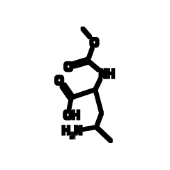 COC(=O)NC(CC(C)N)C(=O)O